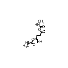 CNC(=O)OC(=N)CCC(=O)OC(=O)NC